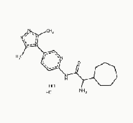 Cc1nnc(C)n1-c1ccc(NC(=O)C(N)C2CCCCCC2)nc1.Cl.Cl